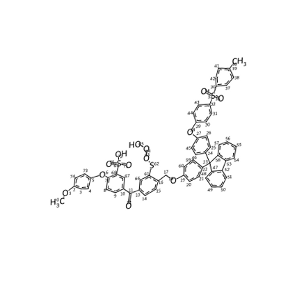 COc1ccc(Oc2ccc(C(=O)c3ccc(COc4ccc(C5(c6ccc(Oc7ccc(S(=O)(=O)c8ccc(C)cc8)cc7)cc6)c6ccccc6-c6ccccc65)cc4)c(SOOO)c3)cc2S(=O)(=O)O)cc1